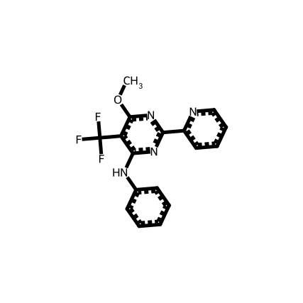 COc1nc(-c2ccccn2)nc(Nc2ccccc2)c1C(F)(F)F